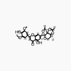 COc1cc(-c2cc(=O)c3c(O)cc(O[C@@H]4OC[C@@H](C)[C@H](OC(C)=O)[C@H]4OC(C)=O)cc3o2)cc(OC)c1O